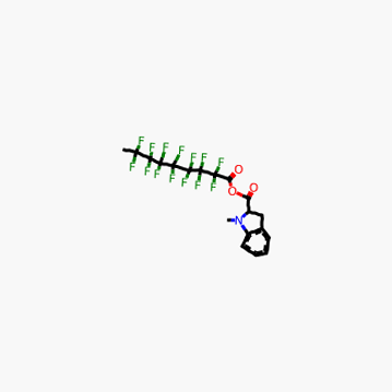 CN1c2ccccc2CC1C(=O)OC(=O)C(F)(F)C(F)(F)C(F)(F)C(F)(F)C(F)(F)C(F)(F)C(C)(F)F